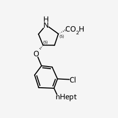 CCCCCCCc1ccc(O[C@@H]2CN[C@H](C(=O)O)C2)cc1Cl